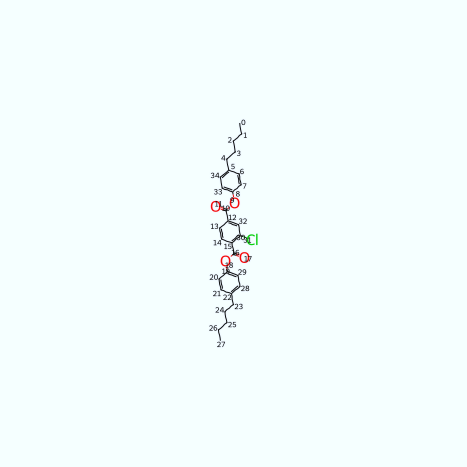 CCCCCc1ccc(OC(=O)c2ccc(C(=O)Oc3ccc(CCCCC)cc3)c(Cl)c2)cc1